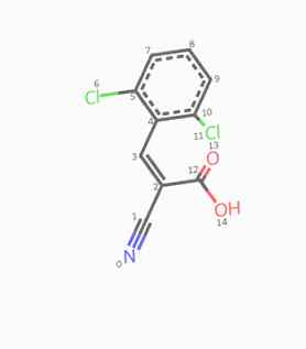 N#C/C(=C/c1c(Cl)cccc1Cl)C(=O)O